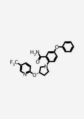 NC(=O)c1cc(Oc2ccccc2)ccc1N1CC[C@H](Oc2ccc(C(F)(F)F)cn2)C1